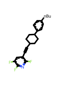 CCCCc1ccc(C2CCC(C#Cc3cc(F)c(F)nc3F)CC2)cc1